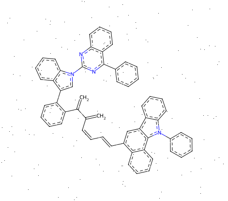 C=C(/C=C\C=C\c1cc2c3ccccc3n(-c3ccccc3)c2c2ccccc12)C(=C)c1ccccc1-c1cn(-c2nc(-c3ccccc3)c3ccccc3n2)c2ccccc12